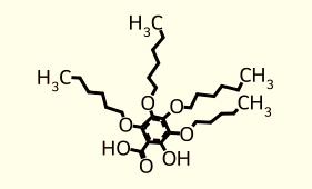 CCCCCCOc1c(OCCCCC)c(O)c(C(=O)O)c(OCCCCCC)c1OCCCCCC